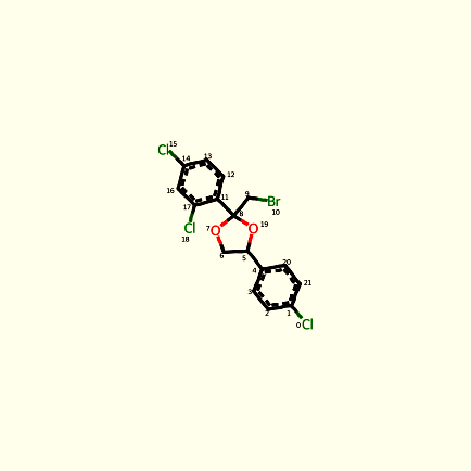 Clc1ccc(C2COC(CBr)(c3ccc(Cl)cc3Cl)O2)cc1